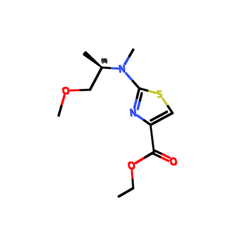 CCOC(=O)c1csc(N(C)[C@H](C)COC)n1